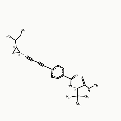 CC(C)(N)[C@H](NC(=O)c1ccc(C#CC#C[C@@H]2C[C@H]2C(O)CO)cc1)C(=O)NO